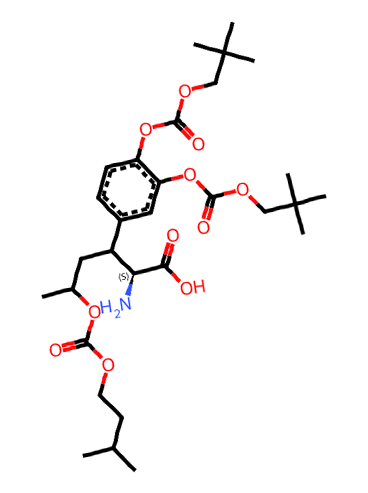 CC(C)CCOC(=O)OC(C)CC(c1ccc(OC(=O)OCC(C)(C)C)c(OC(=O)OCC(C)(C)C)c1)[C@H](N)C(=O)O